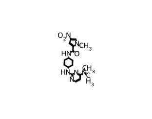 CN(C)c1ccnc(N[C@H]2CC[C@@H](NC(=O)c3cc([N+](=O)[O-])cn3C)CC2)n1